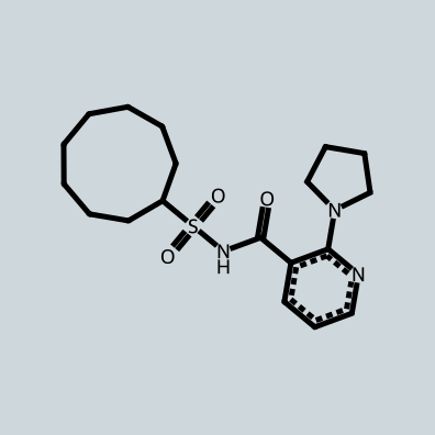 O=C(NS(=O)(=O)C1CCCCCCCC1)c1cccnc1N1CCCC1